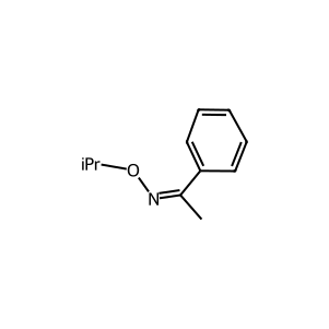 C/C(=N/OC(C)C)c1ccccc1